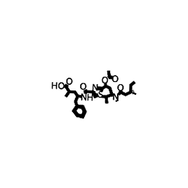 CC[C@@H](C)CC(=O)N(C)C(CC(OC(C)=O)c1nc(C(=O)NC(Cc2ccccc2)CC(C)C(=O)O)cs1)C(C)C